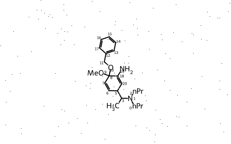 CCCN(CCC)C(C)C1C=CC(OC)(OCc2ccccc2)C(N)=C1